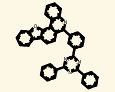 c1ccc(-c2nc(-c3ccccc3)nc(-c3cccc(-c4nc5ccccc5c5c4ccc4c6ccccc6oc45)c3)n2)cc1